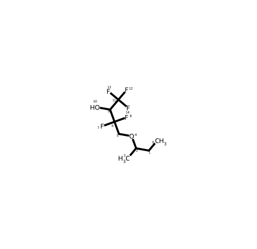 CCC(C)OCC(F)(F)C(O)C(F)(F)F